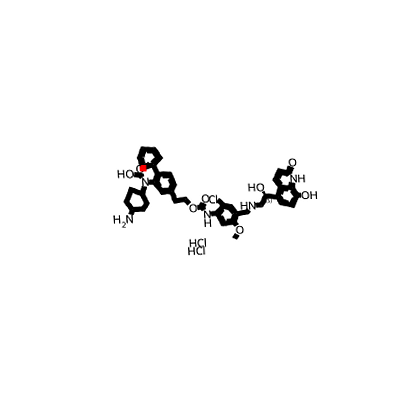 COc1cc(NC(=O)OCCc2ccc(-c3ccccc3)c(N(C(=O)O)C3CCC(N)CC3)c2)c(Cl)cc1CNC[C@@H](O)c1ccc(O)c2[nH]c(=O)ccc12.Cl.Cl